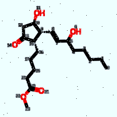 CCCCCC(O)C=C[C@H]1[C@H](O)CC(=O)[C@H]1CCCCC(=O)OC